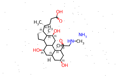 CNCC(=O)C1C[C@@H](O)C[C@H]2C[C@@H](O)C3C(C[C@H](O)[C@@]4(C)C3CC[C@@H]4[C@H](C)CCC(=O)O)[C@@]12C.N